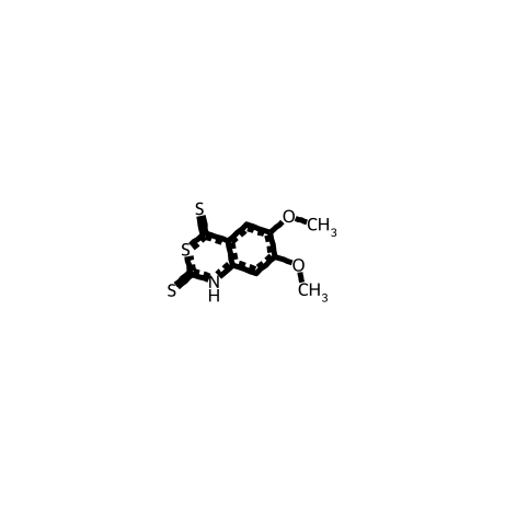 COc1cc2[nH]c(=S)sc(=S)c2cc1OC